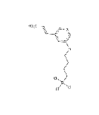 O=C(O)C=Cc1cccc(OCCCC[Si](Cl)(Cl)Cl)c1